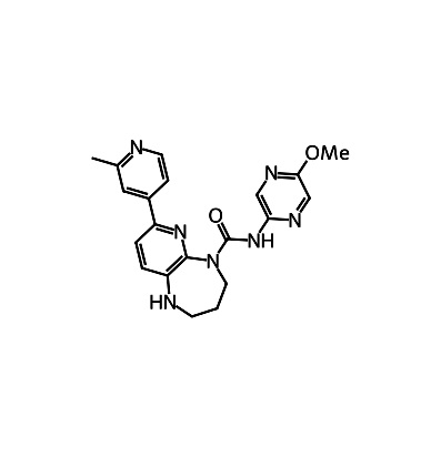 COc1cnc(NC(=O)N2CCCNc3ccc(-c4ccnc(C)c4)nc32)cn1